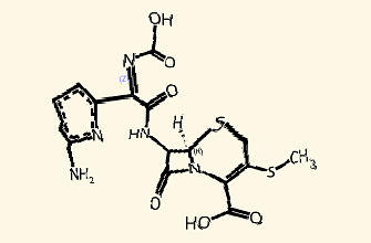 CSC1=C(C(=O)O)N2C(=O)C(NC(=O)/C(=N\C(=O)O)c3cccc(N)n3)[C@H]2SC1